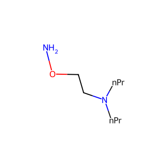 CCCN(CCC)CCON